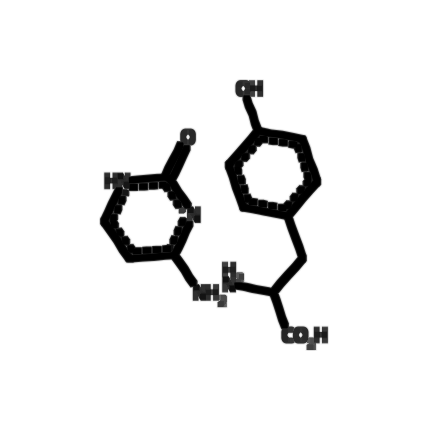 NC(Cc1ccc(O)cc1)C(=O)O.Nc1cc[nH]c(=O)n1